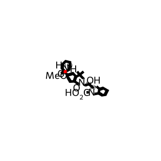 CO[C@H]1C[C@H]2CC[C@@H](C1)N2C(=O)c1ccc2c(c1)C(C)(C)CN(C[C@@H](O)[C@@H]1Cc3ccccc3CN1C(=O)O)C2=O